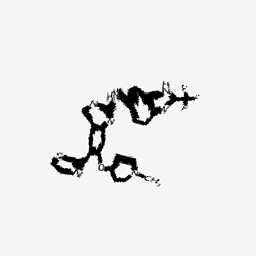 CN1CCC(Oc2cc3nc(Nc4ccc5nc(C(F)(F)F)[nH]c5c4)ncc3cc2-c2nccs2)CC1